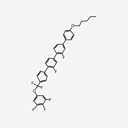 CCCCCOc1ccc(-c2ccc(-c3ccc(-c4ccc(C(F)(F)Oc5cc(F)c(F)c(F)c5)cc4)c(F)c3)c(F)c2)cc1